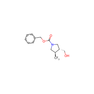 O=C(OCc1ccccc1)N1C[C@H](CO)[C@@H](C(F)(F)F)C1